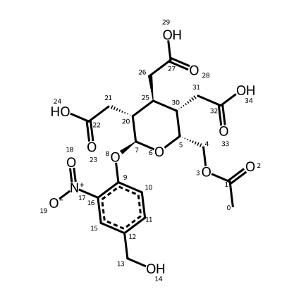 CC(=O)OC[C@@H]1O[C@@H](Oc2ccc(CO)cc2[N+](=O)[O-])[C@H](CC(=O)O)[C@@H](CC(=O)O)[C@@H]1CC(=O)O